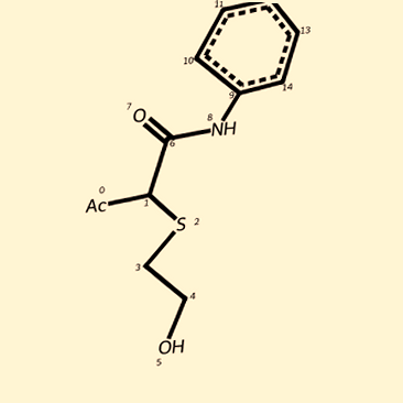 CC(=O)C(SCCO)C(=O)Nc1ccccc1